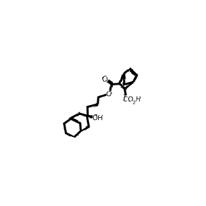 O=C(O)C1C2C=CC(C2)C1C(=O)OCCCC1(O)CC2CCCC(C2)C1